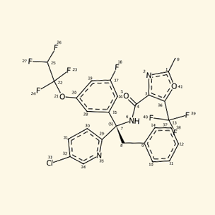 Cc1nc(C(=O)N[C@@](Cc2ccccc2)(c2cc(F)cc(OC(F)(F)C(F)F)c2)c2ccc(Cl)cn2)c(C(F)(F)F)o1